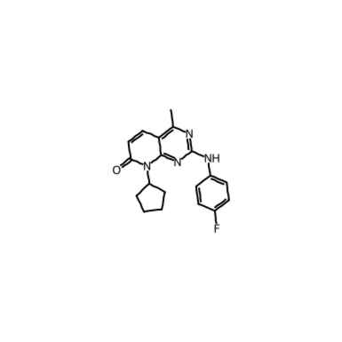 Cc1nc(Nc2ccc(F)cc2)nc2c1ccc(=O)n2C1CCCC1